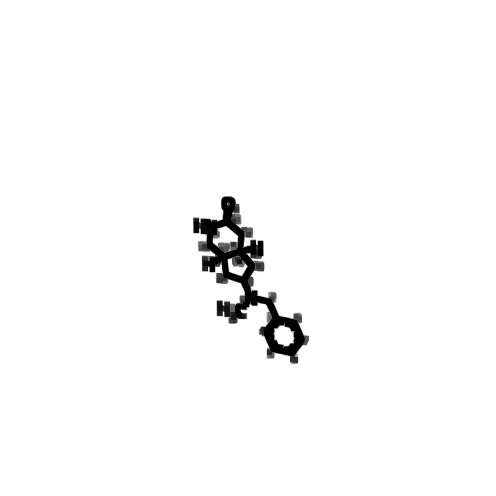 CN(Cc1ccccc1)C1C[C@H]2CC(=O)NC[C@H]2C1